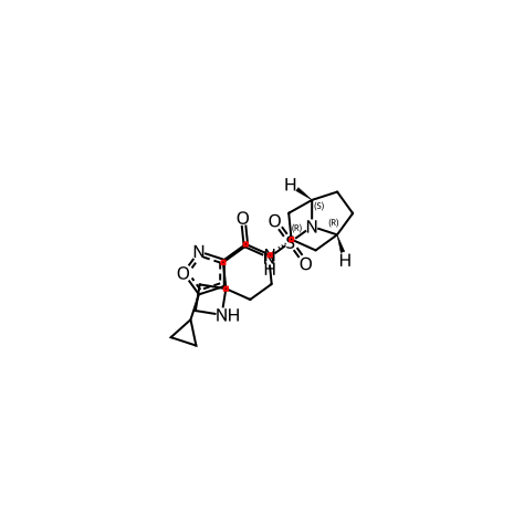 O=C(N[C@H]1C[C@H]2CC[C@@H](C1)N2S(=O)(=O)N1CCC2(CCN2)CC1)c1cc(C2CC2)on1